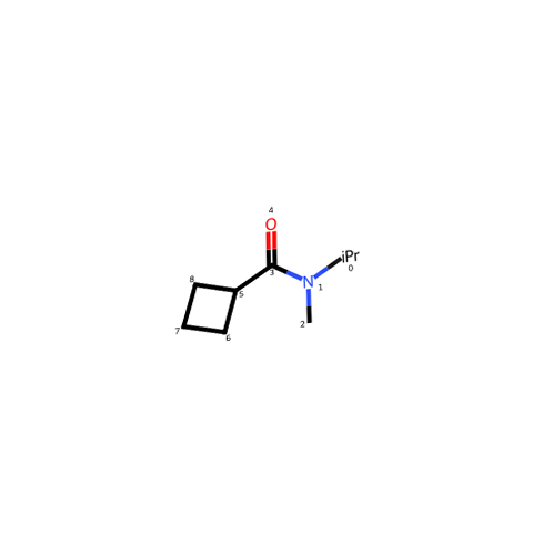 CC(C)N(C)C(=O)C1CCC1